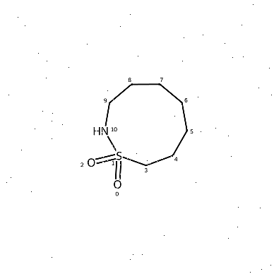 O=S1(=O)CCCCCCCN1